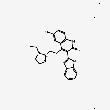 CCN1CCC[C@@H]1CNc1c(-c2nc3ccccc3[nH]2)c(=O)[nH]c2ccc(Cl)cc12